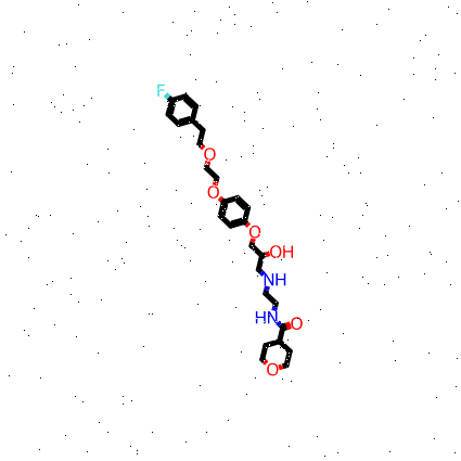 O=C(NCCNCC(O)COc1ccc(OCCOCCc2ccc(F)cc2)cc1)C1CCOCC1